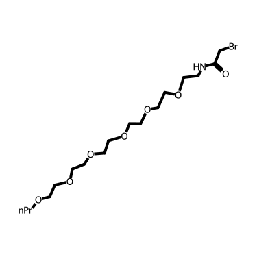 CCCOCCOCCOCCOCCOCCOCCNC(=O)CBr